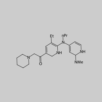 CCCN(C1=CC(NC)NC=C1)C1=C(CC)C=C(C(=O)CN2CCCCC2)CN1